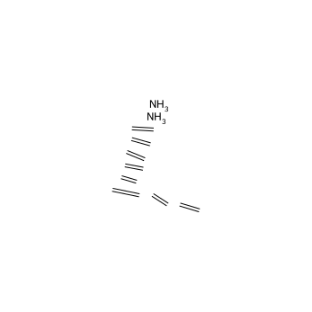 C=C.C=C.C=C.C=C.C=C.C=C.C=C.C=C.N.N